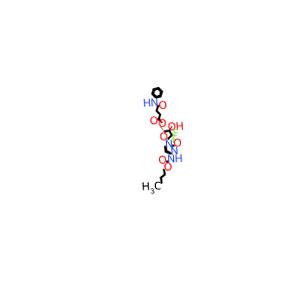 CCCCCOC(=O)Nc1ccn([C@@H]2O[C@H](COC(=O)CCC(=O)Nc3ccccc3)[C@@H](O)C2(F)F)c(=O)n1